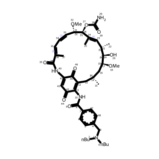 CCCCN(CCCC)Cc1ccc(C(=O)NC2=C3C[C@@H](C)C[C@H](OC)[C@H](O)[C@@H](C)/C=C(\C)[C@H](OC(N)=O)[C@@H](OC)/C=C\C=C(/C)C(=O)NC(=CC2=O)C3=O)cc1